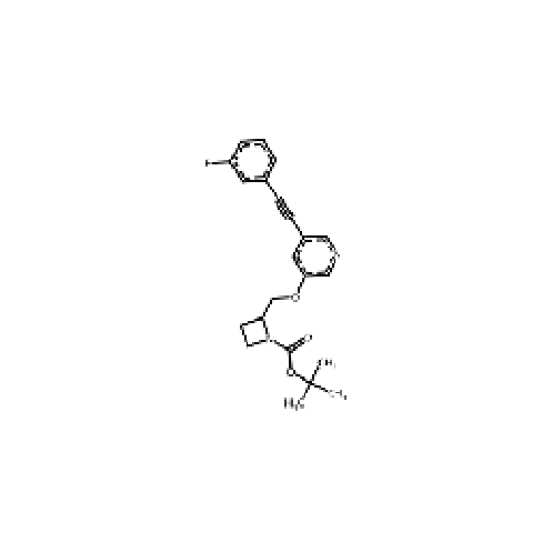 CC(C)(C)OC(=O)N1CCC1COc1cncc(C#Cc2cccc(F)c2)c1